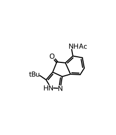 CC(=O)Nc1cccc2c1C(=O)c1c-2n[nH]c1C(C)(C)C